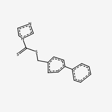 S=C(SCc1ccc(-c2ccccc2)cc1)n1ccnc1